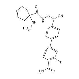 N#CC(CNC(=O)C1(NC(=O)O)CCOCC1)c1ccc(-c2ccc(C(N)=O)c(F)c2)cc1